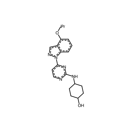 CC(C)Oc1cccc2c1cnn2-c1ccnc(NC2CCC(O)CC2)n1